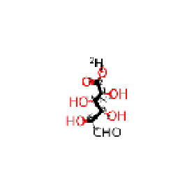 [2H]OC(=O)[C@@H](O)[C@H](O)[C@H](O)[C@@H](O)C=O